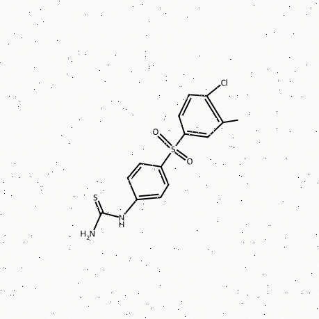 Cc1cc(S(=O)(=O)c2ccc(NC(N)=S)cc2)ccc1Cl